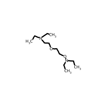 CCN(CC)CCOCCON(CC)CC